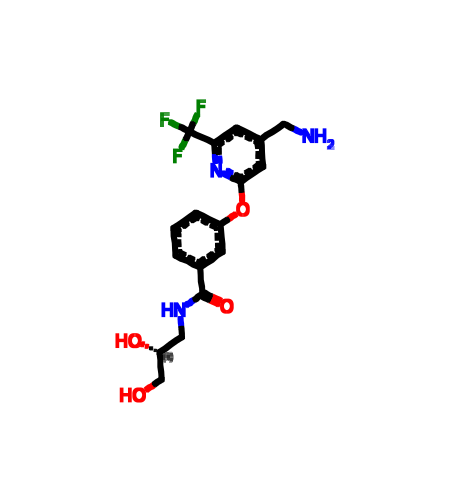 NCc1cc(Oc2cccc(C(=O)NC[C@@H](O)CO)c2)nc(C(F)(F)F)c1